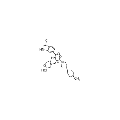 CN1CCC(C2CCN(C(=O)[C@@H](CN3CCOCC3)NC(=O)c3ccc4c(Cl)c[nH]c4c3)CC2)CC1.Cl